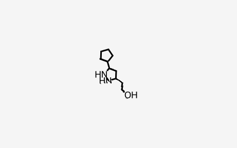 OCCC1CC(C2CCCC2)NN1